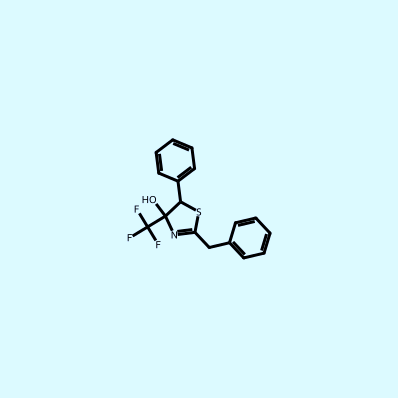 OC1(C(F)(F)F)N=C(Cc2ccccc2)SC1c1ccccc1